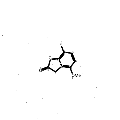 COc1ccc(F)c2c1CC(=O)S2